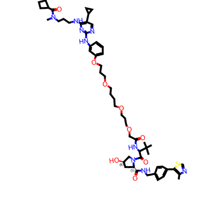 Cc1ncsc1-c1ccc(CNC(=O)[C@@H]2C[C@@H](O)CN2C(=O)C(NC(=O)COCCCOCCCCOCCCOc2cccc(Nc3ncc(C4CC4)c(NCCCN(C)C(=O)C4CCC4)n3)c2)C(C)(C)C)cc1